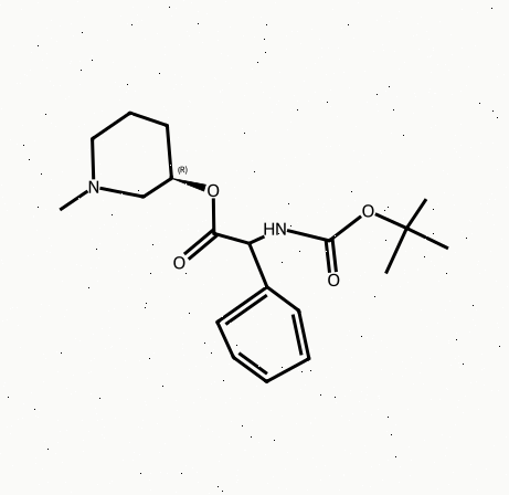 CN1CCC[C@@H](OC(=O)C(NC(=O)OC(C)(C)C)c2ccccc2)C1